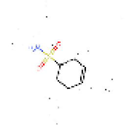 NS(=O)(=O)C1CC=CCC1